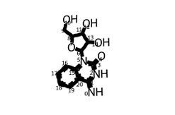 N=c1[nH]c(=O)n(C2OC(CO)C(O)C2O)c2ccccc12